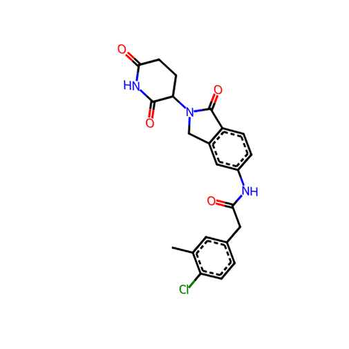 Cc1cc(CC(=O)Nc2ccc3c(c2)CN(C2CCC(=O)NC2=O)C3=O)ccc1Cl